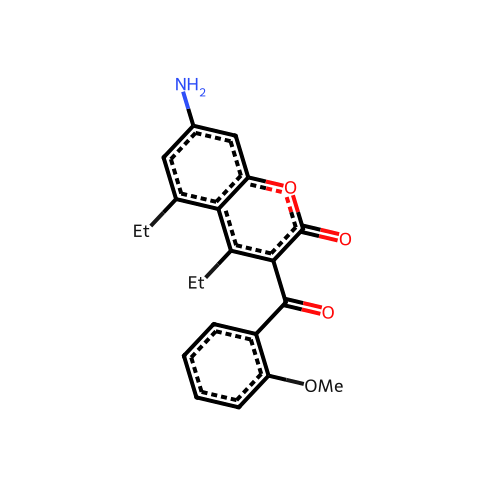 CCc1cc(N)cc2oc(=O)c(C(=O)c3ccccc3OC)c(CC)c12